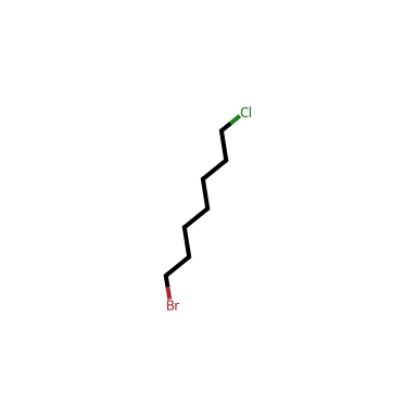 ClCCCCCCCBr